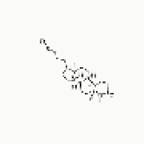 CCSCCCC1CC[C@H]2[C@@H]3CC[C@H]4N(C)C(=O)CC[C@]4(C)[C@H]3CC[C@]12C